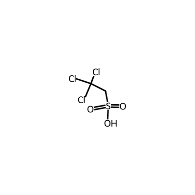 O=S(=O)(O)CC(Cl)(Cl)Cl